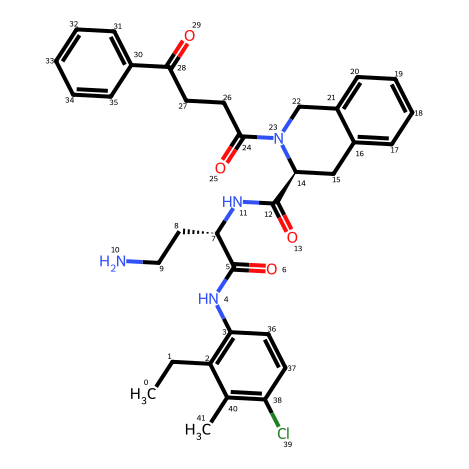 CCc1c(NC(=O)[C@H](CCN)NC(=O)[C@@H]2Cc3ccccc3CN2C(=O)CCC(=O)c2ccccc2)ccc(Cl)c1C